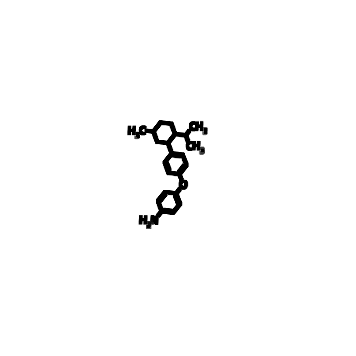 CC1CCC(C(C)C)C(c2ccc(Oc3ccc(N)cc3)cc2)C1